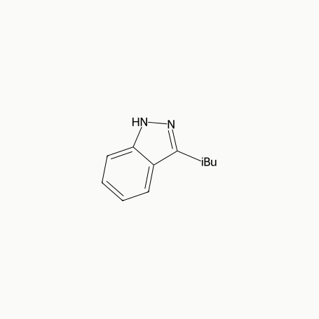 CCC(C)c1n[nH]c2ccccc12